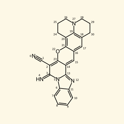 N#Cc1c(=N)n2c3ccccc3nc2c2cc3cc4c5c(c3oc12)CCCN5CCC4